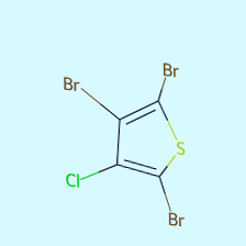 Clc1c(Br)sc(Br)c1Br